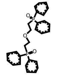 O=P(CCOCCP(=O)(c1ccccc1)c1ccccc1)(c1ccccc1)c1ccccc1